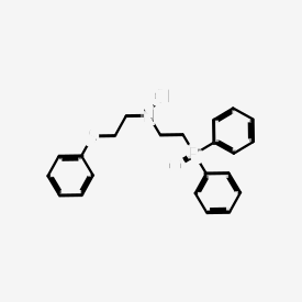 CN(CCSc1ccccc1)CCP(=O)(c1ccccc1)c1ccccc1